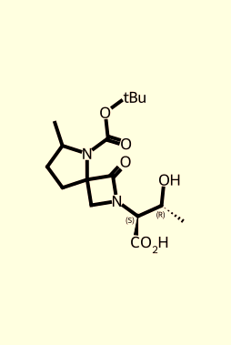 CC1CCC2(CN([C@H](C(=O)O)[C@@H](C)O)C2=O)N1C(=O)OC(C)(C)C